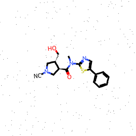 CN(C(=O)[C@H]1CN(C#N)C[C@@H]1CO)c1ncc(-c2ccccc2)s1